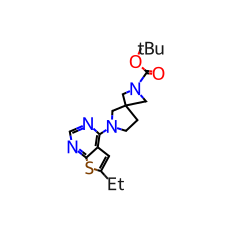 CCc1cc2c(N3CCC4(CN(C(=O)OC(C)(C)C)C4)C3)ncnc2s1